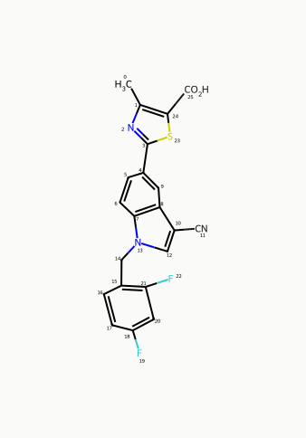 Cc1nc(-c2ccc3c(c2)c(C#N)cn3Cc2ccc(F)cc2F)sc1C(=O)O